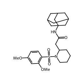 COc1ccc(S(=O)(=O)N2CCCCC2CC(=O)NC23CC4CC(CC(C4)C2)C3)c(OC)c1